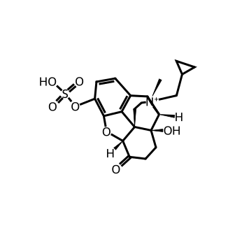 C[N@+]1(CC2CC2)CC[C@]23c4c5ccc(OS(=O)(=O)O)c4O[C@H]2C(=O)CC[C@@]3(O)[C@H]1C5